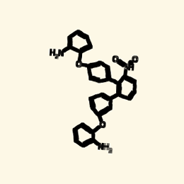 Nc1ccccc1Oc1ccc(-c2c(-c3cccc(Oc4ccccc4N)c3)cccc2[SH](=O)=O)cc1